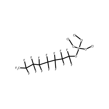 FC(F)(F)C(F)(F)C(F)(F)C(F)(F)C(F)(F)C(F)(F)C(F)(F)C(F)(F)O[Si](OCl)(OCl)OCl